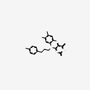 C=c1[nH]c(=O)nc2c1=Nc1cc(C)c(N)cc1N2CCCc1ccc(Cl)cc1